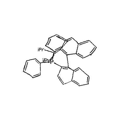 Cc1cc2ccccc2c(-c2c(P(c3ccccc3)c3ccccc3)ccc3ccccc23)c1P(C(C)C)C(C)C